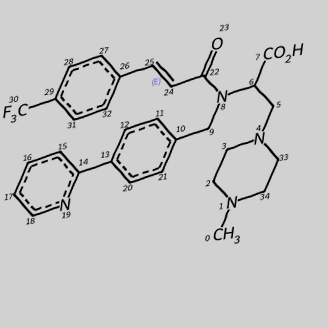 CN1CCN(CC(C(=O)O)N(Cc2ccc(-c3ccccn3)cc2)C(=O)/C=C/c2ccc(C(F)(F)F)cc2)CC1